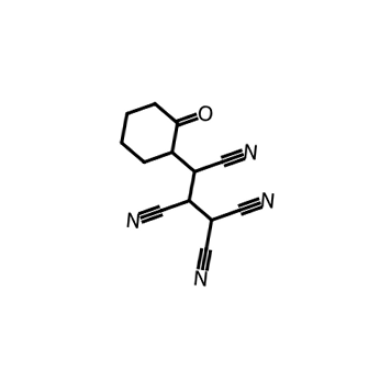 N#CC(C#N)C(C#N)C(C#N)C1CCCCC1=O